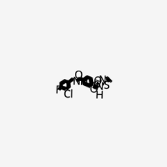 O=C(NCc1ccc(F)c(Cl)c1)c1ccc(S(=O)(=O)Nc2nccs2)cc1